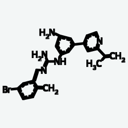 C=C(C)c1cc(-c2cc(N)cc(N/C(N)=N/C=c3/cc(Br)ccc3=C)c2)ccn1